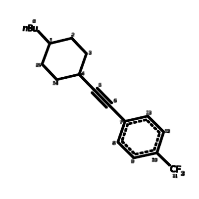 CCCCC1CCC(C#Cc2ccc(C(F)(F)F)cc2)CC1